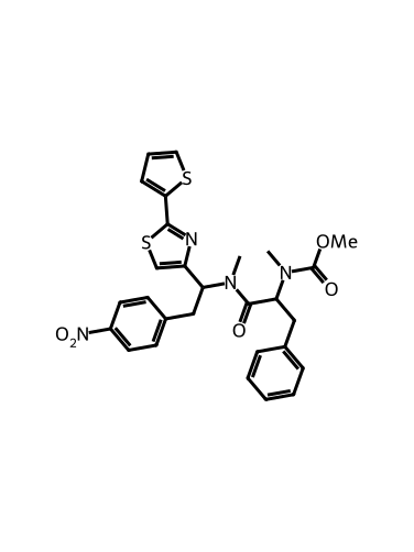 COC(=O)N(C)C(Cc1ccccc1)C(=O)N(C)C(Cc1ccc([N+](=O)[O-])cc1)c1csc(-c2cccs2)n1